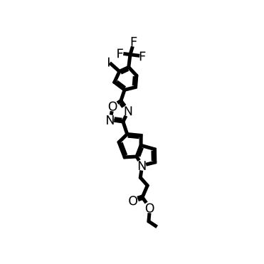 CCOC(=O)CCn1ccc2cc(-c3noc(-c4ccc(C(F)(F)F)c(I)c4)n3)ccc21